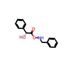 O=C(ONCc1ccccc1)[C@H](O)c1ccccc1